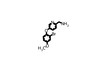 COc1ccc(Oc2ccc(CN)nc2)c(Br)c1